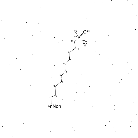 CCCCCCCCCCCCCCCCCCCCP(C)(=O)CC